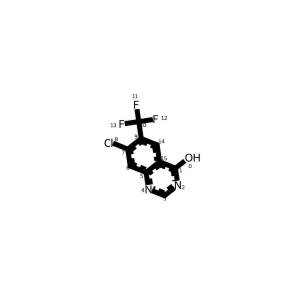 Oc1ncnc2cc(Cl)c(C(F)(F)F)cc12